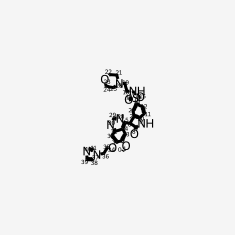 COc1cc2c(C3C(=O)Nc4ccc(S(=O)(=O)NCCN5CCOCC5)cc43)ncnc2cc1OCCn1ccnc1